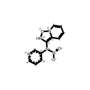 O=[N+]([O-])N(C1=C2C=CC=CN2ON1)c1[c]nccc1